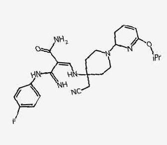 CC(C)OC1=NC(N2CCC(CC#N)(N/C=C(\C(=N)Nc3ccc(F)cc3)C(N)=O)CC2)CC=C1